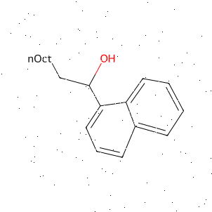 CCCCCCCCCC(O)c1cccc2ccccc12